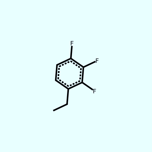 CCc1ccc(F)c(F)c1F